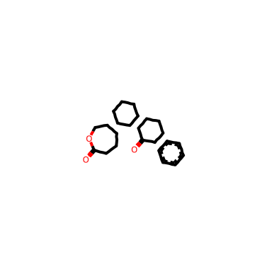 C1CCCCC1.O=C1CCCCC1.O=C1CCCCCO1.c1ccccc1